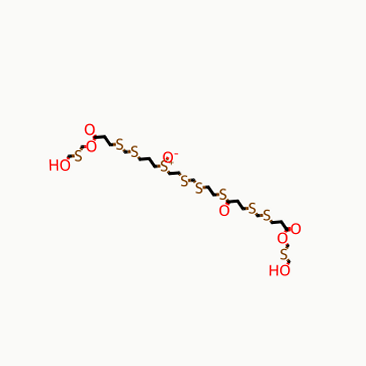 O=C(CCSCSCCC[S+]([O-])CCSCSCCSC(=O)CCSCSCCC(=O)OCSCO)OCSCO